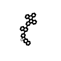 c1ccc2cc3c(cc2c1)oc1ccc(-c2ccc(-c4ccc5c(c4)c4ccccc4c4c6ccccc6c6ccccc6c54)c4ccccc24)cc13